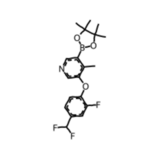 Cc1c(Oc2ccc(C(F)F)cc2F)cncc1B1OC(C)(C)C(C)(C)O1